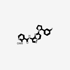 COc1ncccc1C(=O)Nc1cnn2ccc(N3CCCC3c3cccc(F)c3)nc12